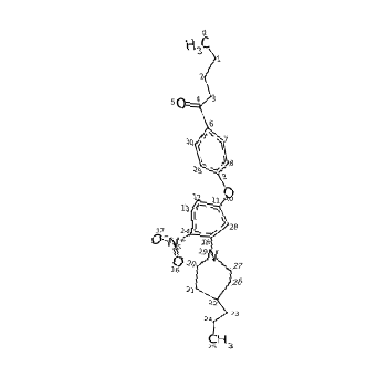 CCCCC(=O)c1ccc(Oc2ccc([N+](=O)[O-])c(N3CCC(CCC)CC3)c2)cc1